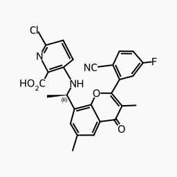 Cc1cc([C@@H](C)Nc2ccc(Cl)nc2C(=O)O)c2oc(-c3cc(F)ccc3C#N)c(C)c(=O)c2c1